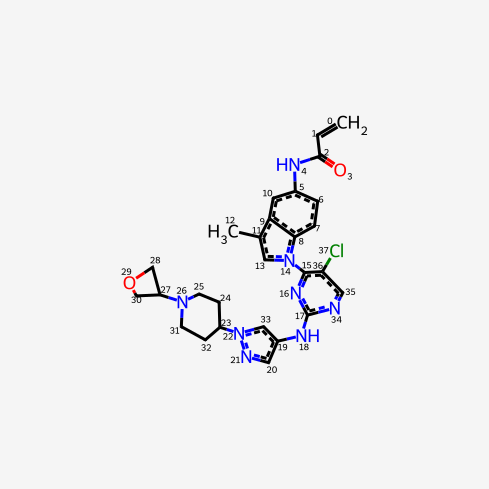 C=CC(=O)Nc1ccc2c(c1)c(C)cn2-c1nc(Nc2cnn(C3CCN(C4COC4)CC3)c2)ncc1Cl